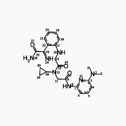 CN(C)c1cccc(NC(=O)CN(C(=O)CNc2ccccc2C(=N)C(N)=O)C2CC2)n1